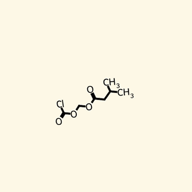 CC(C)CC(=O)OCOC(=O)Cl